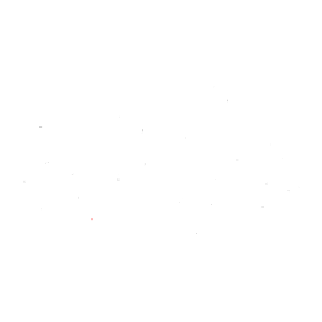 Cc1cc2c(cc1Cc1ccc(C3=C(O)CCC3=O)cc1)C(C)(C)CCC2(C)C